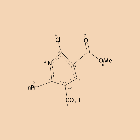 CCCc1nc(Cl)c(C(=O)OC)cc1C(=O)O